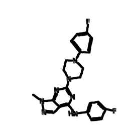 Cn1ncc2c(Nc3ccc(F)cc3)nc(N3CCN(c4ccc(F)cc4)CC3)nc21